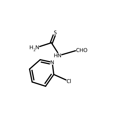 Clc1ccccn1.NC(=S)NC=O